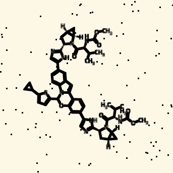 COC(=O)N[C@H](C(=O)N1[C@@H]2C[C@@H]2C[C@H]1c1ncc(-c2ccc3c(c2)OC(c2ccc(C4CC4)s2)n2c-3cc3cc(-c4cnc([C@@H]5C[C@H]6C[C@H]6N5C(=O)[C@@H](NC(=O)OC)C(C)C)[nH]4)ccc32)[nH]1)C(C)C